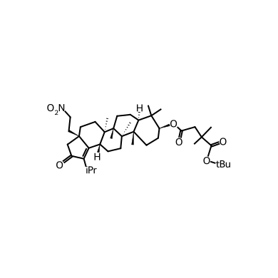 CC(C)C1=C2[C@H]3CC[C@@]4(C)[C@@](C)(CC[C@H]5C(C)(C)[C@@H](OC(=O)CC(C)(C)C(=O)OC(C)(C)C)CC[C@@]54C)[C@]3(C)CC[C@@]2(CC[N+](=O)[O-])CC1=O